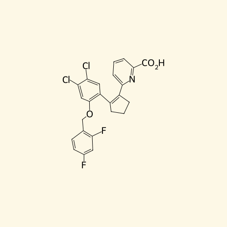 O=C(O)c1cccc(C2=C(c3cc(Cl)c(Cl)cc3OCc3ccc(F)cc3F)CCC2)n1